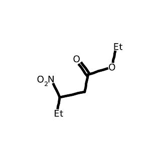 CCOC(=O)CC(CC)[N+](=O)[O-]